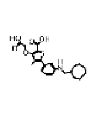 Cc1c(-c2cccc(NCC3CCCCCC3)c2)sc(C(=O)O)c1OCC(=O)O